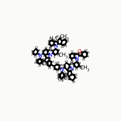 Cc1cc2c3c(c1)-n1c4c(c5c(N(c6ccccc6)c6ccccc6)ccc(c51)B3c1cccc3c5c(n-2c13)-c1ccccc1C5(C)C)C(C)(C)c1ccc(-c2ccc(N(C3=CCC5B6c7c(cc(C)cc7-n7c8c6cccc8c6oc8ccccc8c67)-n6c7c(c3c65)C(C)(C)c3ccccc3-7)c3ccccc3)cc2)cc1-4